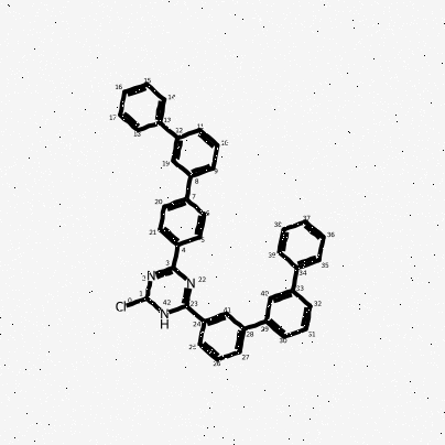 ClC1N=C(c2ccc(-c3cccc(-c4ccccc4)c3)cc2)N=C(c2cccc(-c3cccc(-c4ccccc4)c3)c2)N1